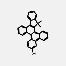 CC1(C)c2ccccc2-c2c1c1c3ccccc3c3cc(O)ccc3c1c1ccccc21